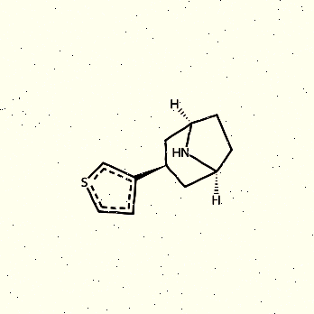 c1cc([C@H]2C[C@H]3CC[C@@H](C2)N3)cs1